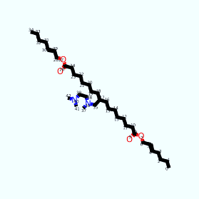 CCCC/C=C/COC(=O)CCCCCCCC(CCCCCCCC(=O)OC/C=C/CCCC)CN(C)CCN(C)C